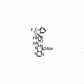 COc1nc(NC(=O)NS(=O)(=O)c2ccccc2C(F)(F)F)nc2nccnc12